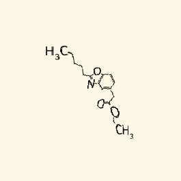 CCCCCc1nc2cc(CC(=O)OCC)ccc2o1